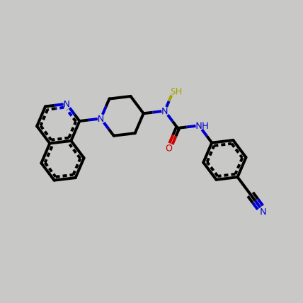 N#Cc1ccc(NC(=O)N(S)C2CCN(c3nccc4ccccc34)CC2)cc1